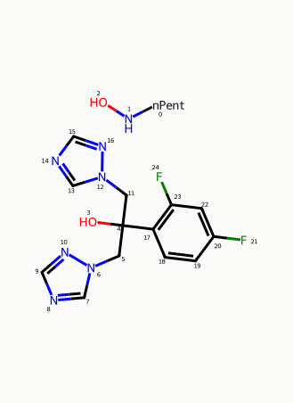 CCCCCNO.OC(Cn1cncn1)(Cn1cncn1)c1ccc(F)cc1F